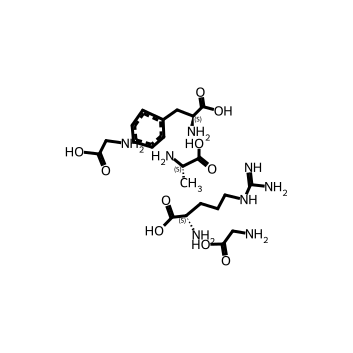 C[C@H](N)C(=O)O.N=C(N)NCCC[C@H](N)C(=O)O.NCC(=O)O.NCC(=O)O.N[C@@H](Cc1ccccc1)C(=O)O